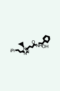 CC(C)CCc1nnc(CCC(=O)NC[C@H](O)c2ccccc2)n1C1CC1